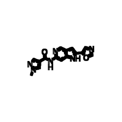 Cn1cc(C(=O)Nc2cc3[nH]c(-c4cnco4)cc3cn2)cn1